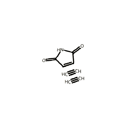 C#C.C#C.O=C1C=CC(=O)N1